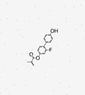 C=C(C)C(=O)Oc1ccc(-c2ccc(O)cc2)c(F)c1